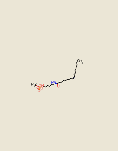 CCCCCCCC/C=C\CCCCCCCC(=O)NCCCCCCOP(=O)(O)OC